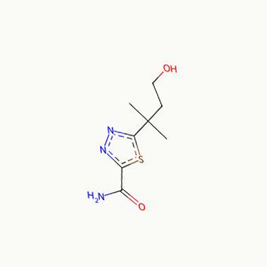 CC(C)(CCO)c1nnc(C(N)=O)s1